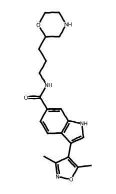 Cc1noc(C)c1-c1c[nH]c2cc(C(=O)NCCCC3CNCCO3)ccc12